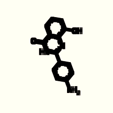 Nc1ccc(-c2nc3c(O)cccc3c(=O)[nH]2)cc1